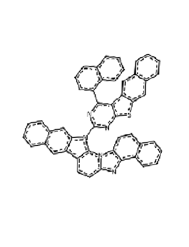 c1ccc2cc3c(cc2c1)sc1nc(-n2c4cc5ccccc5cc4c4ccc5nc6c7ccccc7ccc6n5c42)nc(-c2cccc4ccccc24)c13